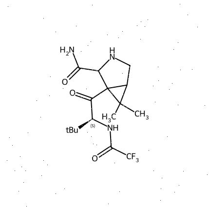 CC(C)(C)[C@H](NC(=O)C(F)(F)F)C(=O)C12C(C(N)=O)NCC1C2(C)C